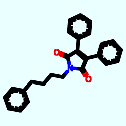 O=C1C(c2ccccc2)=C(c2ccccc2)C(=O)N1CCCCc1ccccc1